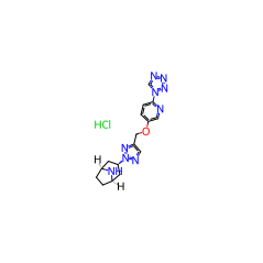 Cl.c1cc(-n2cnnn2)ncc1OCc1cnn([C@H]2C[C@H]3CC[C@@H](C2)N3)n1